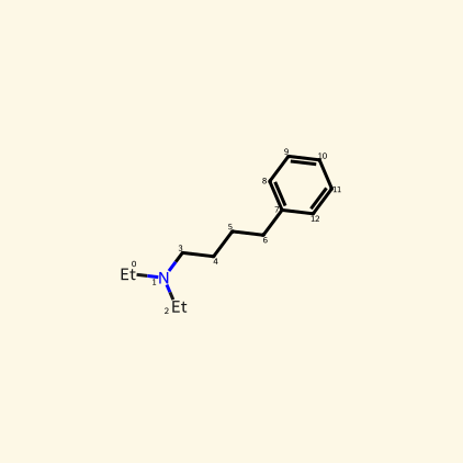 CCN(CC)CCCCc1ccccc1